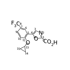 O=C(O)c1ncc(-c2cc(C(F)(F)F)ccc2OC2CC2)o1